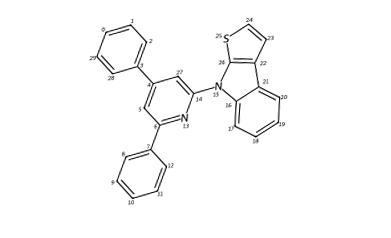 c1ccc(-c2cc(-c3ccccc3)nc(-n3c4ccccc4c4ccsc43)c2)cc1